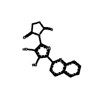 O=C1CCC(=O)N1c1oc(-c2ccc3ccccc3n2)c(O)c1O